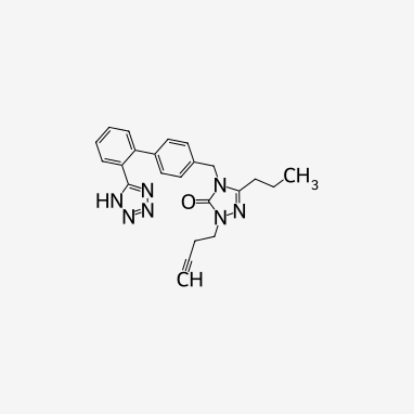 C#CCCn1nc(CCC)n(Cc2ccc(-c3ccccc3-c3nnn[nH]3)cc2)c1=O